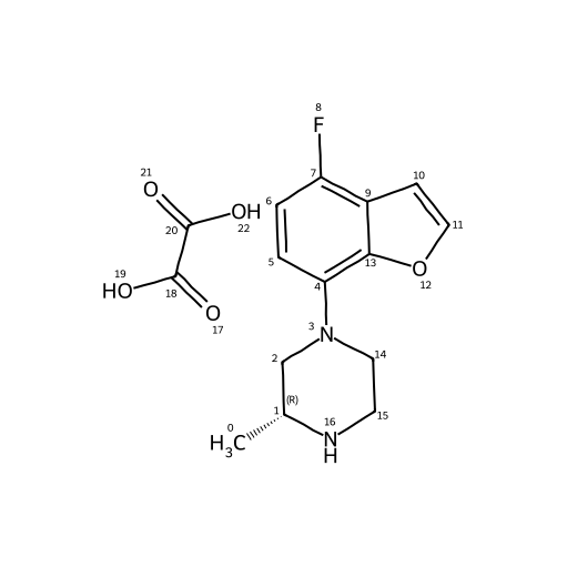 C[C@@H]1CN(c2ccc(F)c3ccoc23)CCN1.O=C(O)C(=O)O